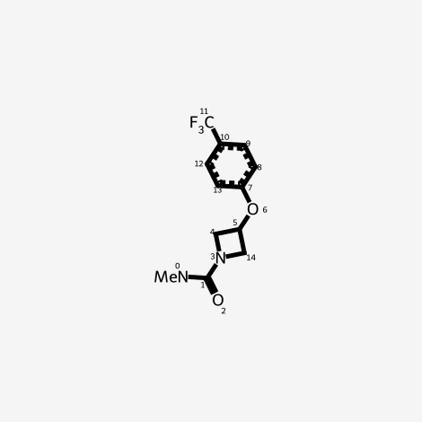 CNC(=O)N1CC(Oc2ccc(C(F)(F)F)cc2)C1